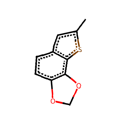 Cc1cc2ccc3c(c2s1)OCO3